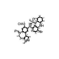 COc1cc2c(cc1Nc1ncc(Br)c(Nc3ccccc3NS(C)(=O)=O)n1)-c1cnn(C)c1CCN2C(C)C